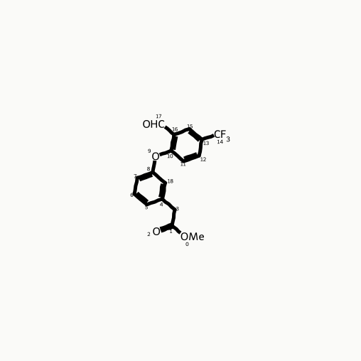 COC(=O)Cc1cccc(Oc2ccc(C(F)(F)F)cc2C=O)c1